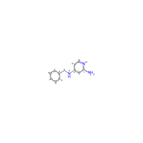 Nc1cc(NCc2ccccc2)ccn1